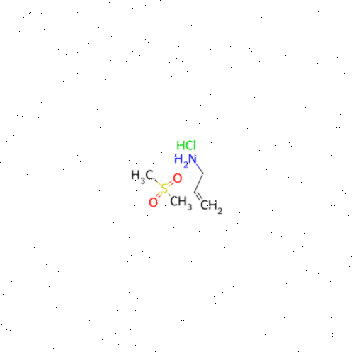 C=CCN.CS(C)(=O)=O.Cl